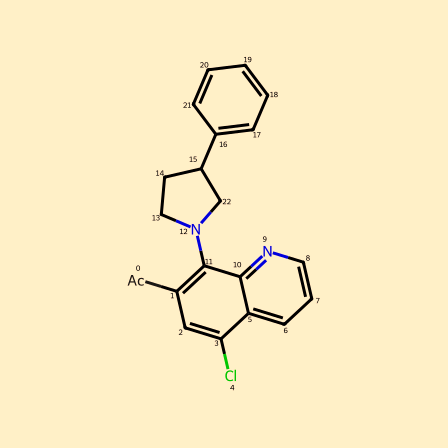 CC(=O)c1cc(Cl)c2cccnc2c1N1CCC(c2ccccc2)C1